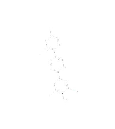 Cc1ccc(-c2ccc(-c3cc(F)c(C)c(F)c3)cc2)c(F)c1